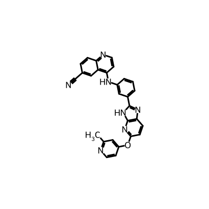 Cc1cc(Oc2ccc3nc(-c4cccc(Nc5ccnc6ccc(C#N)cc56)c4)[nH]c3n2)ccn1